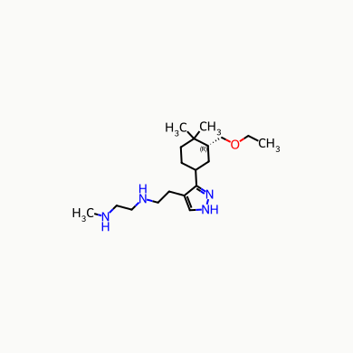 CCOC[C@@H]1CC(c2n[nH]cc2CCNCCNC)CCC1(C)C